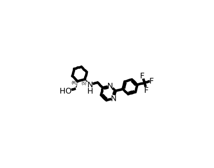 OC[C@@H]1CCCC[C@@H]1NCc1ccnc(-c2ccc(C(F)(F)F)cc2)n1